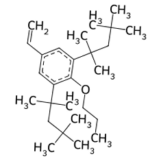 C=Cc1cc(C(C)(C)CC(C)(C)C)c(OCCC)c(C(C)(C)CC(C)(C)C)c1